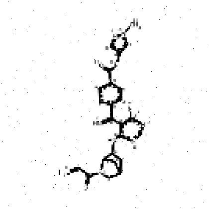 C=CC(=O)N1CC2CC(Nc3ncnc(N)c3C(=N)c3ccc(C(=O)Nc4cnn(C)c4)cc3)C1C2